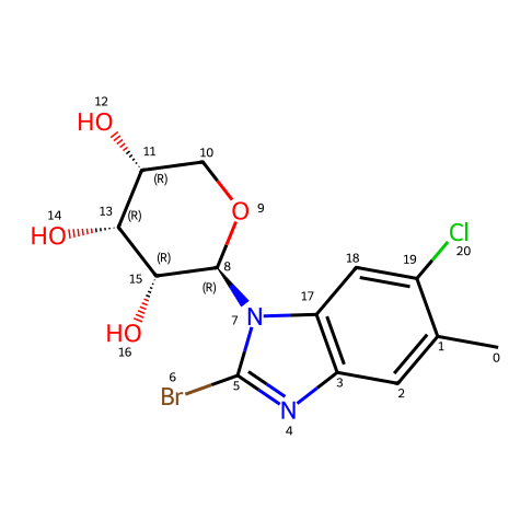 Cc1cc2nc(Br)n([C@@H]3OC[C@@H](O)[C@@H](O)[C@H]3O)c2cc1Cl